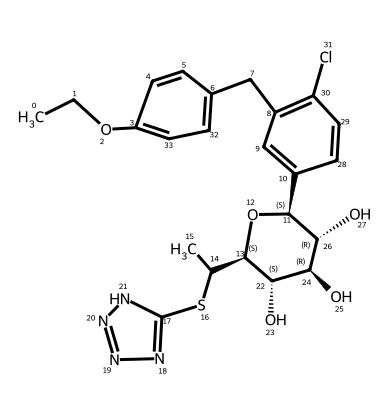 CCOc1ccc(Cc2cc([C@@H]3O[C@H](C(C)Sc4nnn[nH]4)[C@@H](O)[C@H](O)[C@H]3O)ccc2Cl)cc1